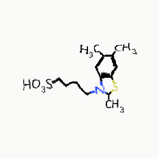 Cc1cc2c(cc1C)N(CCCCS(=O)(=O)O)C(C)S2